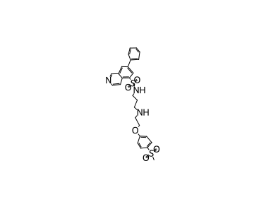 CS(=O)(=O)c1ccc(OCCNCCCNS(=O)(=O)c2cc(-c3ccccc3)cc3cnccc23)cc1